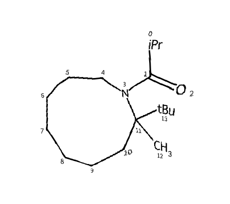 CC(C)C(=O)N1CCCCCCCC1(C)C(C)(C)C